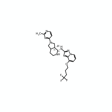 Cc1nccc(N2CC3CCN[C@@H](Nc4nc5c(OCCCC(F)(F)F)cccn5n4)[C@@H]3C2)n1